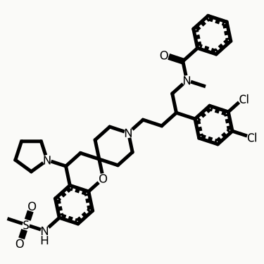 CN(CC(CCN1CCC2(CC1)CC(N1CCCC1)c1cc(NS(C)(=O)=O)ccc1O2)c1ccc(Cl)c(Cl)c1)C(=O)c1ccccc1